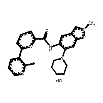 Cl.Cn1cc2cc(NC(=O)c3cccc(-c4cccnc4F)n3)c(N3CCCCC3)cc2n1